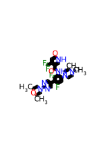 CC1CN(c2ncc(-c3c(F)cc(N4CCN(C)C(C)C4)c(NC(=O)c4c[nH]c(=O)cc4C(F)F)c3F)cn2)CC(C)O1